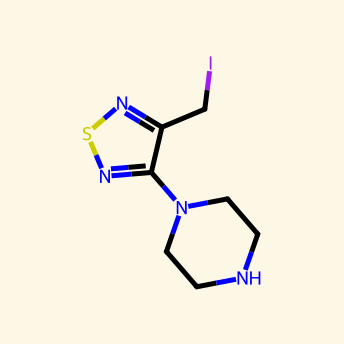 ICc1nsnc1N1CCNCC1